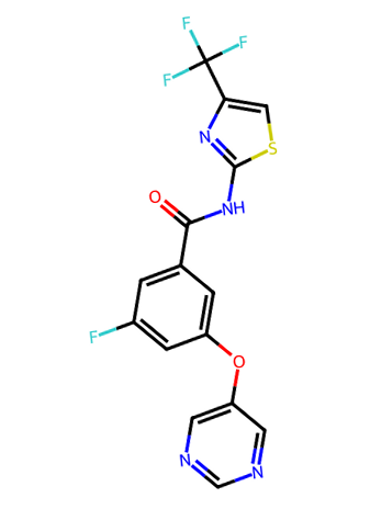 O=C(Nc1nc(C(F)(F)F)cs1)c1cc(F)cc(Oc2cncnc2)c1